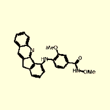 CONC(=O)c1ccc(Nc2cccc3c2-c2nc4ccccc4cc2C3)c(OC)c1